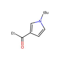 CCC(=O)c1ccn(C(C)(C)C)c1